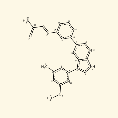 COc1cc(C)cc(-c2c[nH]c3ncc(-c4cccc(C=CC(N)=O)c4)cc23)n1